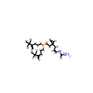 C=C(CCCP(CCCC(=C)C(C)(C)C)CCC1(C/C=C\N=C(/C)N)CC1)C(C)(C)C